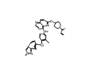 C=CC(=O)N1CCC(Oc2ccc3ncnc(Nc4ccc(Oc5ccc6cn(C)nc6c5)c(C)c4)c3n2)CC1